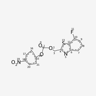 O=C(OCc1nc2cccc(F)c2s1)Oc1ccc([N+](=O)[O-])cc1